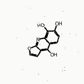 Oc1ccc2c(O)c3ccoc3nc2c1O